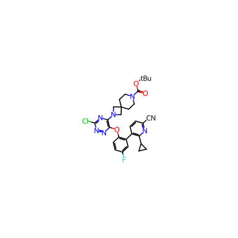 CC(C)(C)OC(=O)N1CCC2(CC1)CN(c1nc(Cl)nnc1Oc1ccc(F)cc1-c1ccc(C#N)nc1C1CC1)C2